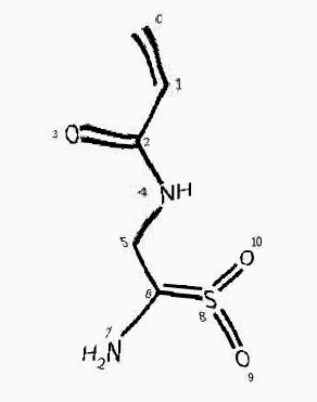 C=CC(=O)NCC(N)=S(=O)=O